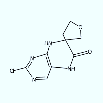 O=C1Nc2cnc(Cl)nc2NC12CCOC2